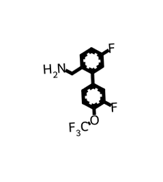 NCc1ccc(F)cc1-c1ccc(OC(F)(F)F)c(F)c1